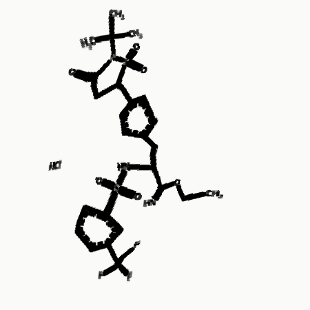 CCOC(=N)C(Cc1ccc(C2CC(=O)N(C(C)(C)C)S2(=O)=O)cc1)NS(=O)(=O)c1cccc(C(F)(F)F)c1.Cl